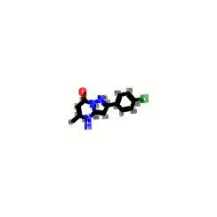 Cc1cc(=O)n2nc(-c3ccc(Cl)cc3)cc2[nH]1